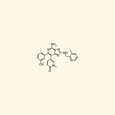 Cc1cccnc1CNc1nc2c(-c3ccc(=O)n(C)c3)c(-c3cccc(C#N)c3)nc(N)n2n1